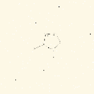 CN1CN=[C]C1Cl